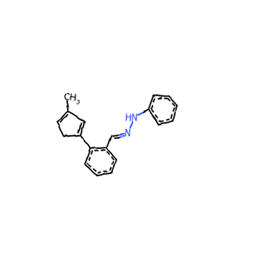 CC1=CCC(c2ccccc2C=NNc2ccccc2)=C1